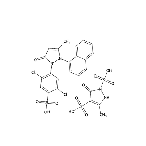 Cc1[nH]n(S(=O)(=O)O)c(=O)c1S(=O)(=O)O.Cc1cc(=O)n(-c2cc(Cl)c(S(=O)(=O)O)cc2Cl)n1-c1cccc2ccccc12